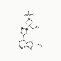 CS(=O)(=O)N1CC(CC#N)(n2cc(-c3cccc4nc(N)oc34)cn2)C1